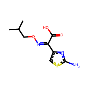 CC(C)CON=C(C(=O)O)c1csc(N)n1